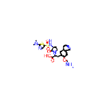 CN(C)c1ncc(S(=O)(=O)NC2CCN(C(Cc3cc4ccncc4cc3OCN)C(=O)O)C2=O)s1